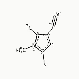 Cn1c(I)cc(C#N)c1I